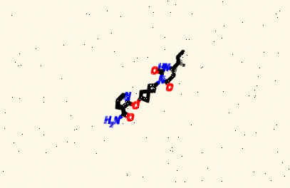 CC[C@H](C)[C@H]1CC(=O)N(C2CC3(CC(Oc4ncccc4C(N)=O)C3)C2)C(=O)N1